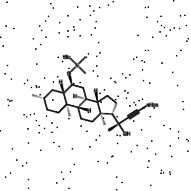 CCCCCCC#C[C@](C)(O)[C@H]1CC[C@H]2[C@@H]3C[C@H](O[Si](C)(C)C(C)(C)C)[C@H]4C[C@@H](C)CC[C@]4(C)[C@H]3CC[C@@]21C